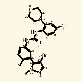 Cc1ccc(NC(=O)Nc2ccc(Cl)cc2N2CCOCC2)cc1-c1c(Br)cnn1C